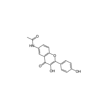 CC(=O)Nc1ccc2oc(-c3ccc(O)cc3)c(O)c(=O)c2c1